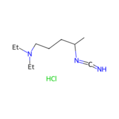 CCN(CC)CCCC(C)N=C=N.Cl